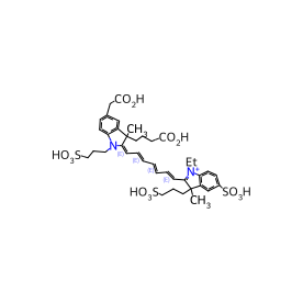 CC[N+]1=C(/C=C/C=C/C=C/C=C2/N(CCCS(=O)(=O)O)c3ccc(CC(=O)O)cc3C2(C)CCCC(=O)O)C(C)(CCCS(=O)(=O)O)c2cc(S(=O)(=O)O)ccc21